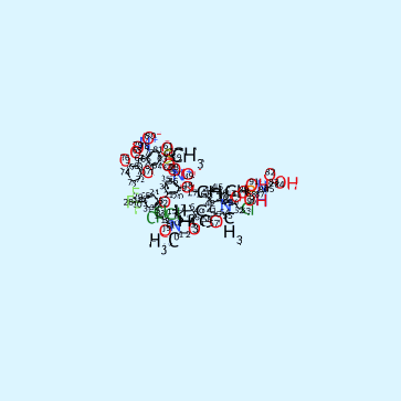 CC1COc2ccccc2N1C(=O)C(Cl)Cl.CCOc1cc(Oc2ccc(C(F)(F)F)cc2Cl)ccc1[N+](=O)[O-].CCc1cccc(C)c1N(C(=O)CCl)C(C)COC.CS(=O)(=O)c1ccc(C(=O)C2C(=O)CCCC2=O)c([N+](=O)[O-])c1.O=C(O)CNCP(=O)(O)O